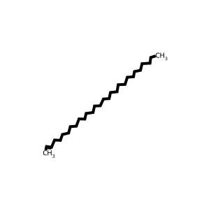 CC=CCCCCCCCCCCCCCCCCCCCCCCCCCC